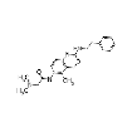 Cc1c(NC(=O)CN(C)C)ccc2c1COC(NCCc1ccccc1)=N2